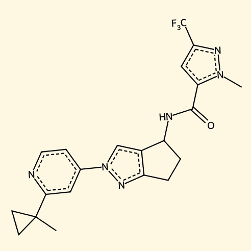 Cn1nc(C(F)(F)F)cc1C(=O)NC1CCc2nn(-c3ccnc(C4(C)CC4)c3)cc21